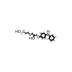 O=C(O)CCSCC(O)COc1ccc(Nc2ccccc2)cc1